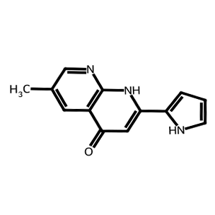 Cc1cnc2[nH]c(-c3ccc[nH]3)cc(=O)c2c1